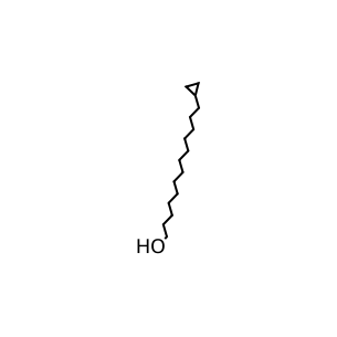 OCCCCCCCCCCCCCC1CC1